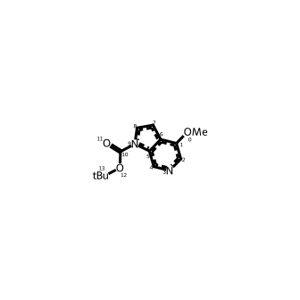 COc1cncc2c1ccn2C(=O)OC(C)(C)C